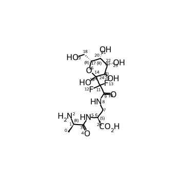 C[C@@H](N)C(=O)N[C@@H](CNC(=O)C(F)(F)[C@]1(O)O[C@H](CO)[C@H](O)[C@H](O)[C@H]1O)C(=O)O